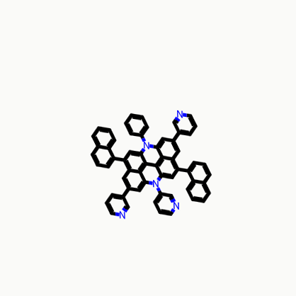 c1ccc(-n2c3cc(-c4cccc5ccccc45)c4cc(-c5cccnc5)cc5c4c3-c3c4c(cc(-c6cccnc6)cc42)c(-c2cccc4ccccc24)cc3n5-c2cccnc2)cc1